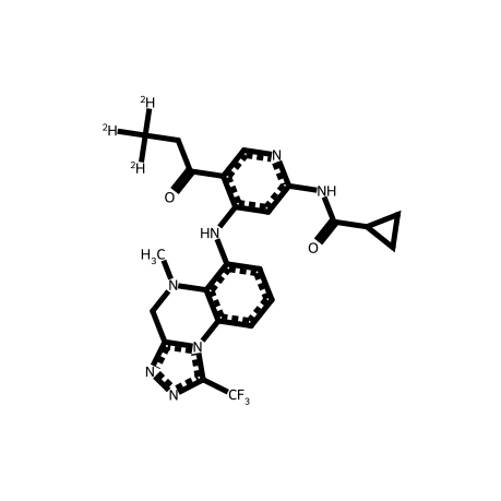 [2H]C([2H])([2H])CC(=O)c1cnc(NC(=O)C2CC2)cc1Nc1cccc2c1N(C)Cc1nnc(C(F)(F)F)n1-2